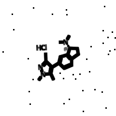 Cc1nn(C)c(C)c1-c1ccc2c(c1)[C@H](N(C)C)CC2.Cl